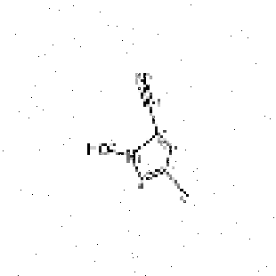 Cc1cc(C#N)n(O)c1